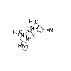 Cc1cc(C#N)ccc1Nc1cc(N(C)CC2CC3CCC(C2)N3)ncn1